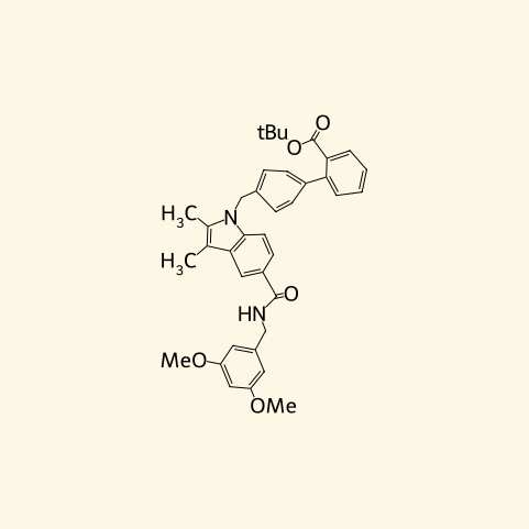 COc1cc(CNC(=O)c2ccc3c(c2)c(C)c(C)n3Cc2ccc(-c3ccccc3C(=O)OC(C)(C)C)cc2)cc(OC)c1